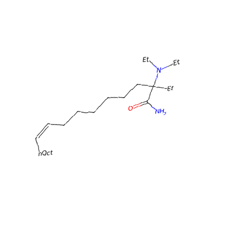 CCCCCCCC/C=C\CCCCCCC(CC)(C(N)=O)N(CC)CC